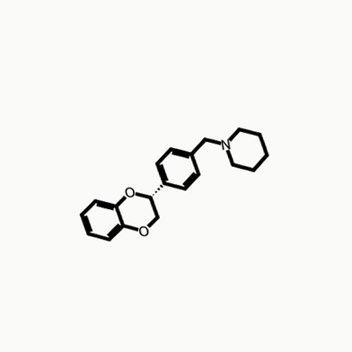 c1ccc2c(c1)OC[C@@H](c1ccc(CN3CCCCC3)cc1)O2